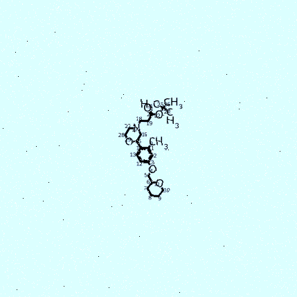 Cc1cc(OCC2CCCCO2)ccc1C1CN(CCC(=O)OC(C)(C)C)CCO1